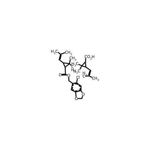 CC(C)=CC1C(C(=O)O)C1(C)C.CC(C)=CC1C(C(=O)OCc2cc3c(cc2Cl)OCO3)C1(C)C